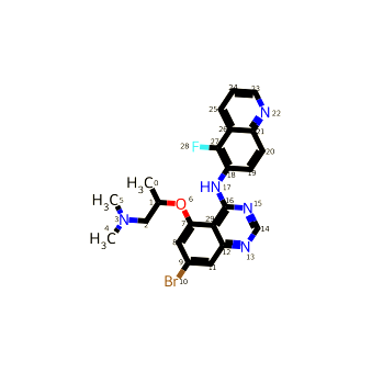 CC(CN(C)C)Oc1cc(Br)cc2ncnc(Nc3ccc4ncccc4c3F)c12